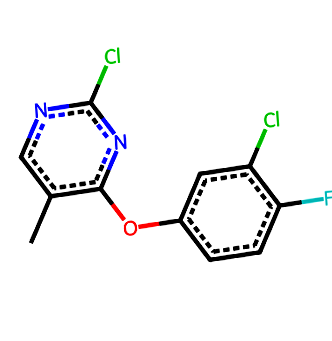 Cc1cnc(Cl)nc1Oc1ccc(F)c(Cl)c1